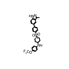 Cc1n[nH]c2ccc(-c3ccc(S(=O)(=O)N4CCC(Nc5ccc(OC(F)(F)F)cc5)CC4)cc3)cc12